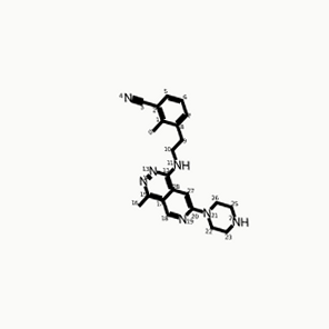 Cc1c(C#N)cccc1CCNc1nnc(C)c2cnc(N3CCNCC3)cc12